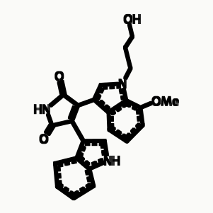 COc1cccc2c(C3=C(c4c[nH]c5ccccc45)C(=O)NC3=O)cn(CCCO)c12